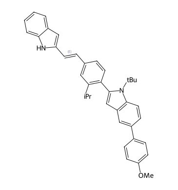 COc1ccc(-c2ccc3c(c2)cc(-c2ccc(/C=C/c4cc5ccccc5[nH]4)cc2C(C)C)n3C(C)(C)C)cc1